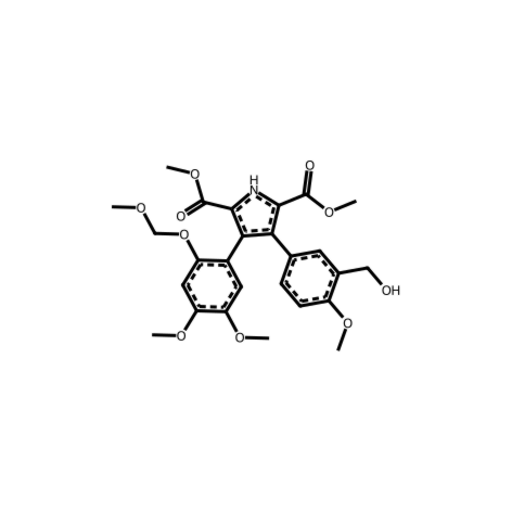 COCOc1cc(OC)c(OC)cc1-c1c(C(=O)OC)[nH]c(C(=O)OC)c1-c1ccc(OC)c(CO)c1